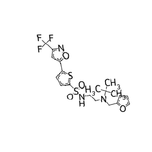 CC(C)(C)N(CCNS(=O)(=O)c1ccc(-c2cc(C(F)(F)F)no2)s1)Cc1ccco1